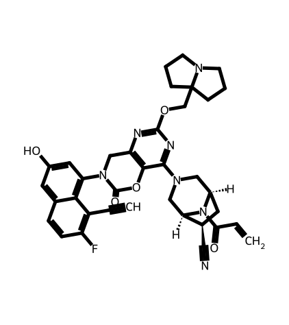 C#Cc1c(F)ccc2cc(O)cc(N3Cc4nc(OCC56CCCN5CCC6)nc(N5C[C@H]6C[C@@H](C#N)[C@@H](C5)N6C(=O)C=C)c4OC3=O)c12